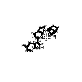 CCOC(=O)[C@@H]1C2CCC(CC2)[C@H]1n1ccc2ccc(-c3c[nH]c4ncc(F)cc34)nc21